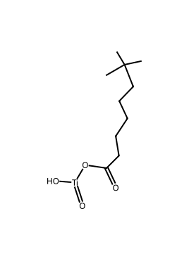 CC(C)(C)CCCCCC(=O)[O][Ti](=[O])[OH]